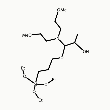 CCO[Si](CCCOC(C(C)O)N(CCOC)CCOC)(OCC)OCC